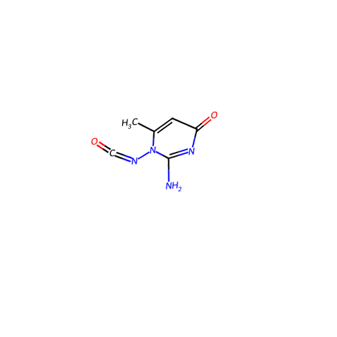 Cc1cc(=O)nc(N)n1N=C=O